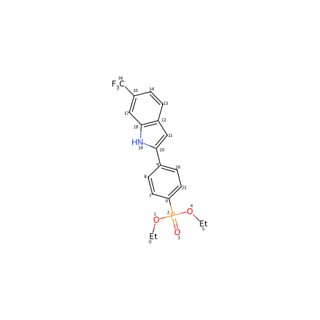 CCOP(=O)(OCC)c1ccc(-c2cc3ccc(C(F)(F)F)cc3[nH]2)cc1